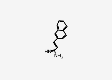 N=C(N)/C=C/c1ccc2ccccc2c1